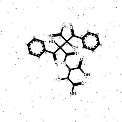 O=C(O)C(O)C(OC(=O)C(O)(C(=O)c1ccccc1)C(O)(C(=O)O)C(=O)c1ccccc1)C(=O)O